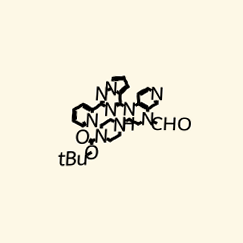 CC(C)(C)OC(=O)N1CCN(CCN(C=O)c2cnccc2Nc2nc(-c3ccccn3)nn3cccc23)CC1